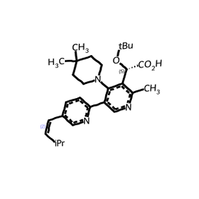 Cc1ncc(-c2ccc(/C=C\C(C)C)cn2)c(N2CCC(C)(C)CC2)c1[C@H](OC(C)(C)C)C(=O)O